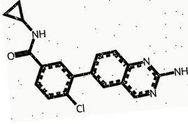 Nc1ncc2cc(-c3cc(C(=O)NC4CC4)ccc3Cl)ccc2n1